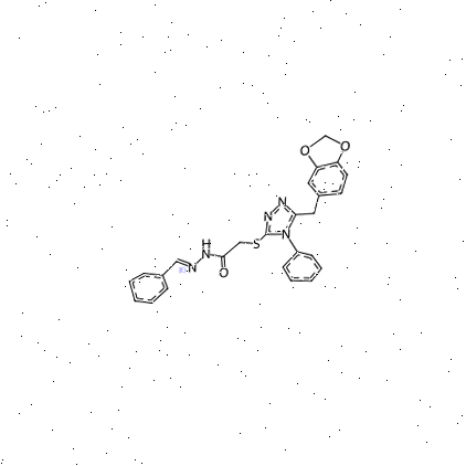 O=C(CSc1nnc(Cc2ccc3c(c2)OCO3)n1-c1ccccc1)N/N=C/c1ccccc1